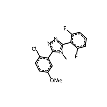 COc1ccc(Cl)c(-c2nnc(-c3c(F)cccc3F)n2C)c1